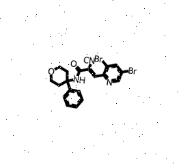 N#CC(=Cc1ncc(Br)cc1Br)C(=O)NC1(c2ccccc2)CCOCC1